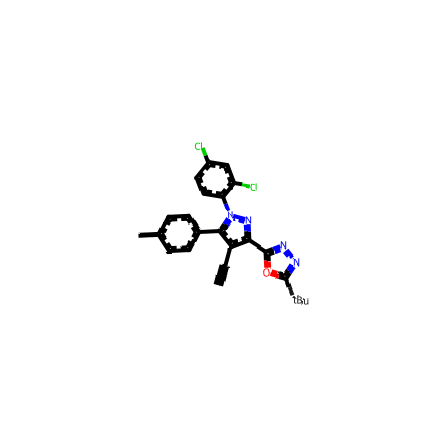 C#Cc1c(-c2nnc(C(C)(C)C)o2)nn(-c2ccc(Cl)cc2Cl)c1-c1ccc(C)cc1